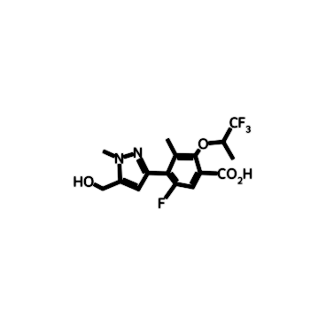 Cc1c(OC(C)C(F)(F)F)c(C(=O)O)cc(F)c1-c1cc(CO)n(C)n1